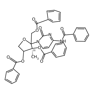 C[C@]1(OC(=O)c2ccccc2)C(OC(=O)c2ccccc2)COC1(COC(=O)c1ccccc1)n1ccc(NC(=O)c2ccccc2)nc1=O